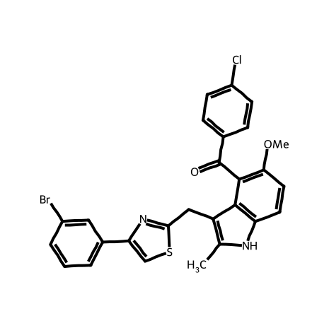 COc1ccc2[nH]c(C)c(Cc3nc(-c4cccc(Br)c4)cs3)c2c1C(=O)c1ccc(Cl)cc1